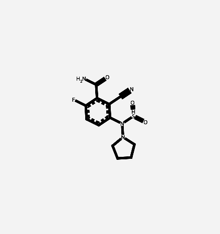 N#Cc1c(N(N2CCCC2)[SH](=O)=O)ccc(F)c1C(N)=O